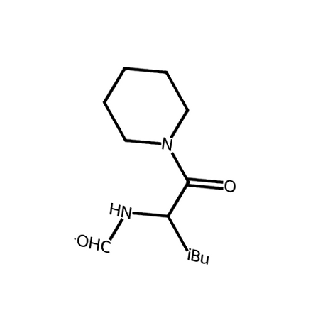 CCC(C)C(N[C]=O)C(=O)N1CCCCC1